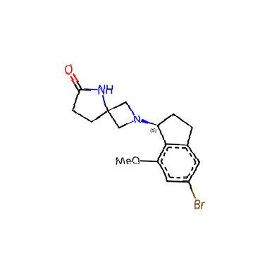 COc1cc(Br)cc2c1[C@@H](N1CC3(CCC(=O)N3)C1)CC2